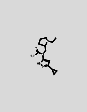 CCN1CCCC1CN(C(N)=O)c1cc(C2CC2)n[nH]1